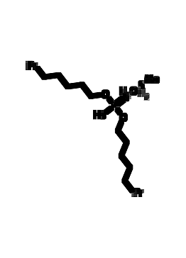 CC(C)CCCCCOP(=S)(S)OCCCCCC(C)C.O.S.[Mo]